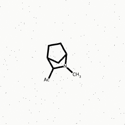 CC(=O)C1C2CCC(C2)N1C